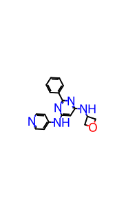 c1ccc(-c2nc(Nc3ccncc3)cc(NC3COC3)n2)cc1